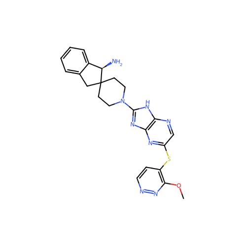 COc1nnccc1Sc1cnc2[nH]c(N3CCC4(CC3)Cc3ccccc3[C@H]4N)nc2n1